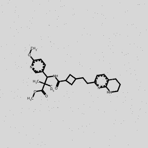 COC(=O)C(C)(C)C(NC(=O)C1CC(CCc2ccc3c(n2)NCCC3)C1)c1ccc(OC)nc1